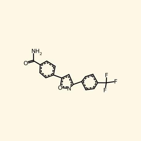 NC(=O)c1ccc(-c2cc(-c3ccc(C(F)(F)F)cc3)no2)cc1